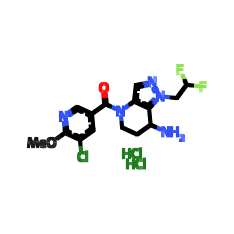 COc1ncc(C(=O)N2CCC(N)c3c2cnn3CC(F)F)cc1Cl.Cl.Cl